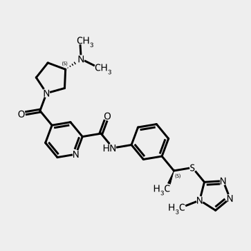 C[C@H](Sc1nncn1C)c1cccc(NC(=O)c2cc(C(=O)N3CC[C@H](N(C)C)C3)ccn2)c1